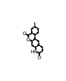 Cc1ccc2c(c1)c(=O)oc1cc3[nH]c(=O)ccc3cc12